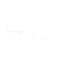 CC(C)(C)OC(=O)N[C@H]1CC[C@H](NCC2CCC(n3ccc(NC(=O)N4CCN(C(=O)C(C)(C)OC(N)=O)CC4)nc3=O)CC2)CC1